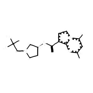 CCC(F)(F)CN1CC[C@H](NC(=O)c2ccn3c(C)cc(C)nc23)C1